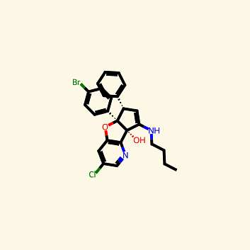 CCCCNC1=C[C@@H](c2ccccc2)[C@]2(c3ccc(Br)cc3)Oc3cc(Cl)cnc3[C@]12O